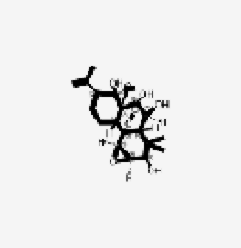 C=C(C)[C@@H]1CC[C@H]2[C@@]34CO[C@@](O)([C@@H](O)[C@@H]3C(C)(C)[C@@H](O)[C@H]3O[C@H]34)[C@@]2(C(C)=O)[C@@H]1O